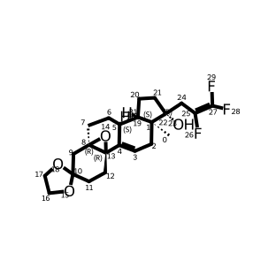 C[C@]12CC=C3[C@@H](CC[C@@]45CC6(CC[C@@]34O5)OCCO6)[C@@H]1CC[C@@]2(O)CC(F)=C(F)F